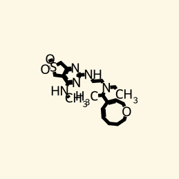 CCN(CCNc1nc2c(c(NC)n1)CS(=O)(=O)C2)C(C)C1=C/COCCC/C=C\1